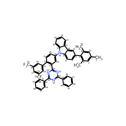 Cc1cc(C)c(-c2ccc3c(c2)c2ccccc2n3-c2ccc(-c3cc(C(F)(F)F)cc(C(F)(F)F)c3)c(-c3nc(-c4ccccc4)nc(-c4ccccc4)n3)c2)c(C)c1